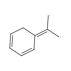 [CH2]C([CH2])=C1C=CC=CC1